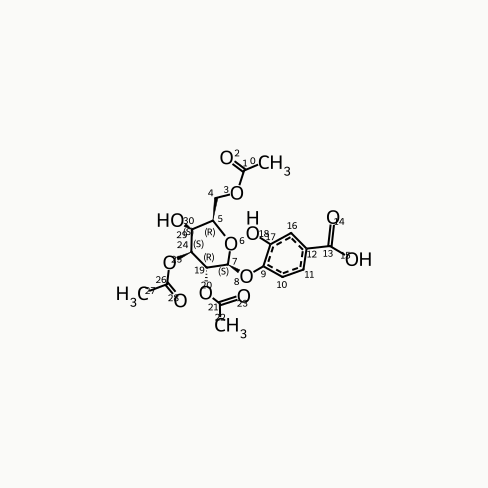 CC(=O)OC[C@H]1O[C@@H](Oc2ccc(C(=O)O)cc2O)[C@H](OC(C)=O)[C@@H](OC(C)=O)[C@H]1O